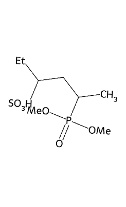 CCC(CC(C)P(=O)(OC)OC)S(=O)(=O)O